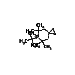 CC(C)(C)P1C(C)(C)CC2(CC2)CC1(C)C